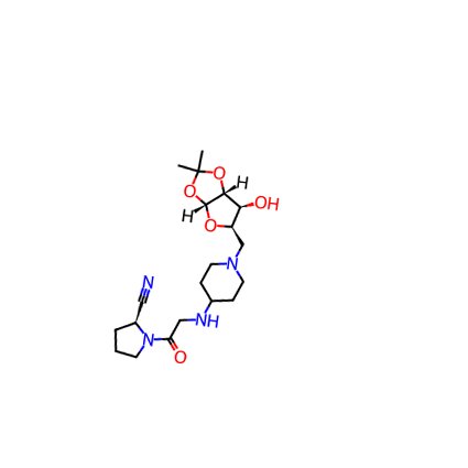 CC1(C)O[C@H]2O[C@H](CN3CCC(NCC(=O)N4CCC[C@H]4C#N)CC3)[C@H](O)[C@H]2O1